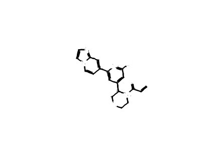 C=CC(=O)N1CCOCC1c1cc(Cl)nc(-c2ccn3ccnc3c2)c1